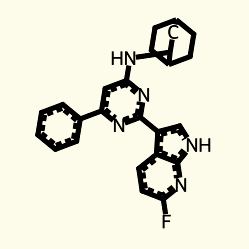 Fc1ccc2c(-c3nc(NC4CC5CCC4CC5)cc(-c4ccccc4)n3)c[nH]c2n1